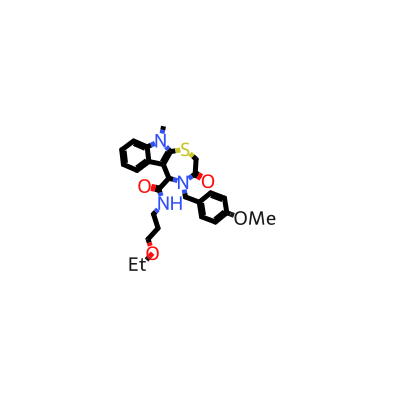 CCOCCCNC(=O)C1c2c(n(C)c3ccccc23)SCC(=O)N1Cc1ccc(OC)cc1